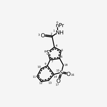 CCCNC(=O)c1cc2c(s1)-c1ccccc1S(=O)(=O)C2